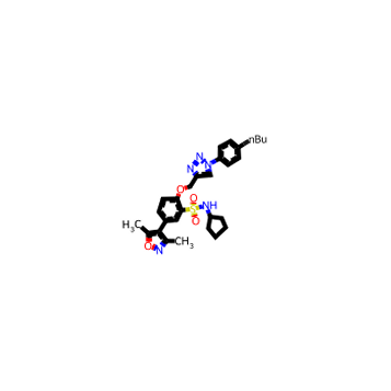 CCCCc1ccc(-n2cc(COc3ccc(-c4c(C)noc4C)cc3S(=O)(=O)NC3CCCC3)nn2)cc1